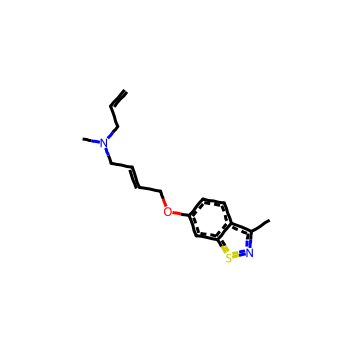 C=CCN(C)CC=CCOc1ccc2c(C)nsc2c1